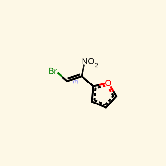 O=[N+]([O-])/C(=C\Br)c1ccco1